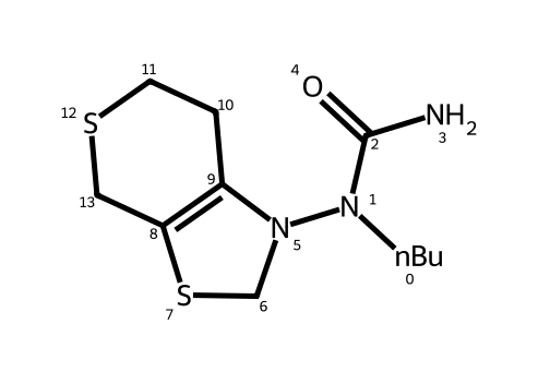 CCCCN(C(N)=O)N1CSC2=C1CCSC2